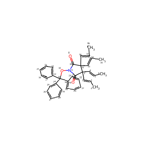 CC=CC1(C=CC)C(=O)N(OC(c2ccccc2)(c2ccccc2)c2ccccc2)C(=O)C1(C=CC)C=CC